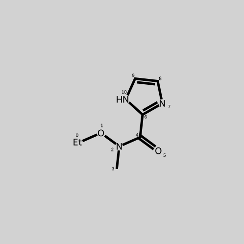 CCON(C)C(=O)c1ncc[nH]1